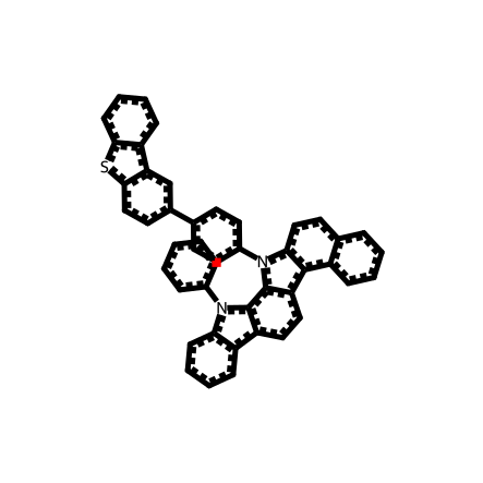 c1ccc(-n2c3ccccc3c3ccc4c5c6ccccc6ccc5n(-c5ccc(-c6ccc7sc8ccccc8c7c6)cc5)c4c32)cc1